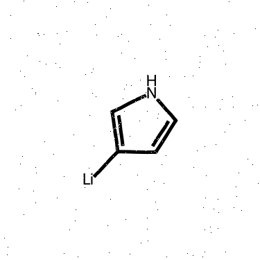 [Li][c]1cc[nH]c1